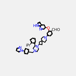 CC(C)c1ccccc1C1CN(Cc2ccc(-n3cccn3)cc2)CCN1C1CC2(CCN(c3ccc(C=O)c(Oc4cnc5[nH]ccc5c4)c3)CC2)C1